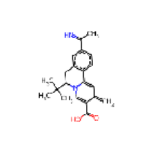 C=C1C=C2c3ccc(C(C)=N)cc3CC(C(C)(C)C)N2C=C1C(=O)O